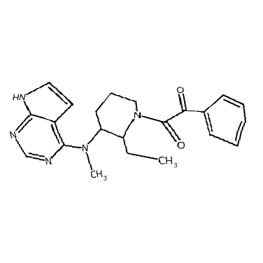 CCC1C(N(C)c2ncnc3[nH]ccc23)CCCN1C(=O)C(=O)c1ccccc1